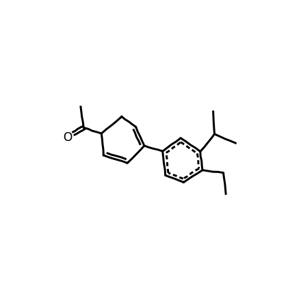 CCc1ccc(C2=CCC(C(C)=O)C=C2)cc1C(C)C